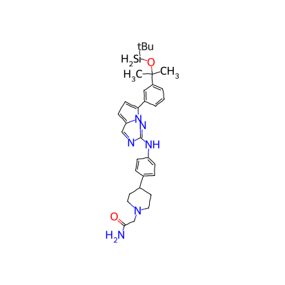 CC(C)(C)[SiH2]OC(C)(C)c1cccc(-c2ccc3cnc(Nc4ccc(C5CCN(CC(N)=O)CC5)cc4)nn23)c1